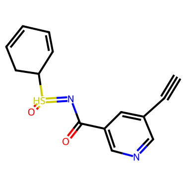 C#Cc1cncc(C(=O)N=[SH](=O)C2C=CC=CC2)c1